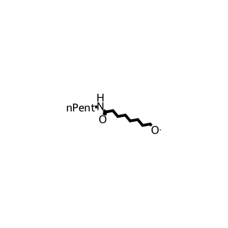 CCCCCNC(=O)CCCCCCC[O]